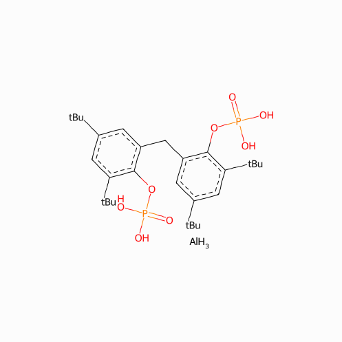 CC(C)(C)c1cc(Cc2cc(C(C)(C)C)cc(C(C)(C)C)c2OP(=O)(O)O)c(OP(=O)(O)O)c(C(C)(C)C)c1.[AlH3]